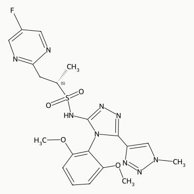 COc1cccc(OC)c1-n1c(NS(=O)(=O)[C@@H](C)Cc2ncc(F)cn2)nnc1-c1cn(C)nn1